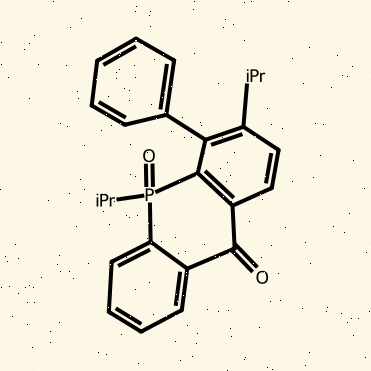 CC(C)c1ccc2c(c1-c1ccccc1)P(=O)(C(C)C)c1ccccc1C2=O